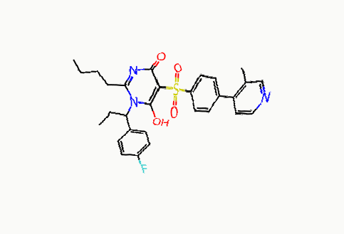 CCCCc1nc(=O)c(S(=O)(=O)c2ccc(-c3ccncc3C)cc2)c(O)n1C(CC)c1ccc(F)cc1